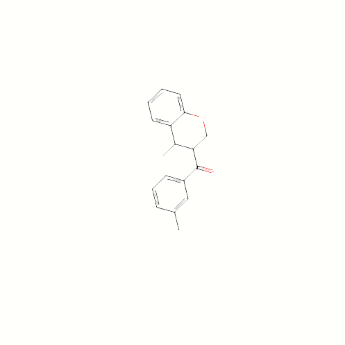 Cc1cccc(C(=O)C2COc3ccccc3C2Cl)c1